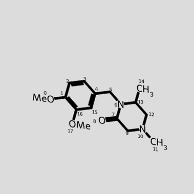 COc1ccc(CN2C(=O)CN(C)CC2C)cc1OC